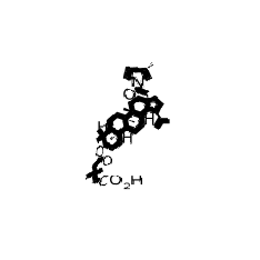 C=C(C)[C@@H]1CC[C@]2(CC(=O)N3CC[C@H](C)C3)CC[C@]3(C)[C@H](CC[C@@H]4[C@@]5(C)CC[C@H](OC(=O)CC(C)(C)CC(=O)O)C(C)(C)[C@@H]5CC[C@]43C)[C@@H]12